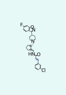 O=C(/C=C/c1cccc(Cl)c1)NC[C@H]1CCC[C@@H]1CN1CCC(c2noc3cc(F)ccc23)CC1